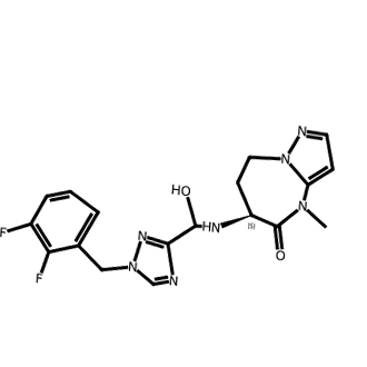 CN1C(=O)[C@@H](NC(O)c2ncn(Cc3cccc(F)c3F)n2)CCn2nccc21